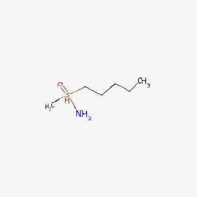 CCCCC[SH](C)(N)=O